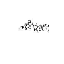 CC(C)(C)[Si](C)(C)OCCC=Cc1ccc(Cl)nc1Cl